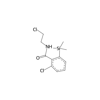 C[Si](C)(C)c1cccc(Cl)c1C(=O)NCCCl